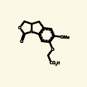 COc1cc2c(cc1OCC(=O)O)N1C(=O)OCC1C2